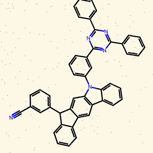 N#Cc1cccc(C2c3ccccc3-c3cc4c5ccccc5n(-c5cccc(-c6nc(-c7ccccc7)nc(-c7ccccc7)n6)c5)c4cc32)c1